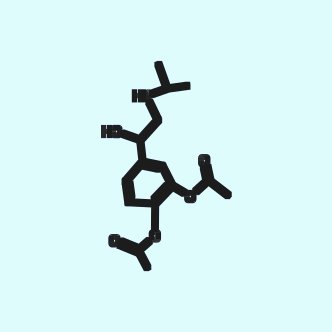 CC(=O)Oc1ccc(C(O)CNC(C)C)cc1OC(C)=O